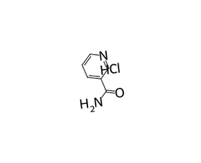 Cl.NC(=O)c1cccnc1